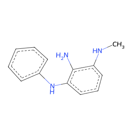 CNc1cccc(Nc2ccccc2)c1N